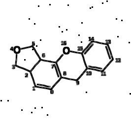 C1=CC2COCC2C2=C1Cc1ccccc1O2